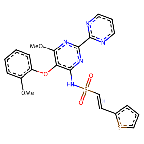 COc1ccccc1Oc1c(NS(=O)(=O)/C=C/c2cccs2)nc(-c2ncccn2)nc1OC